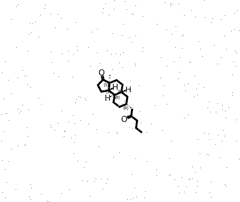 CCCC(=O)C[C@@H]1CC[C@@H]2[C@H](CC[C@]3(C)C(=O)CC[C@@H]23)C1